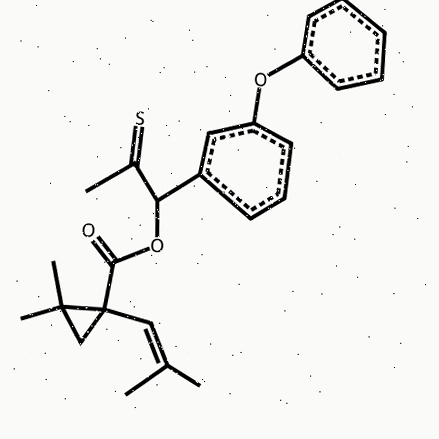 CC(=S)C(OC(=O)C1(C=C(C)C)CC1(C)C)c1cccc(Oc2ccccc2)c1